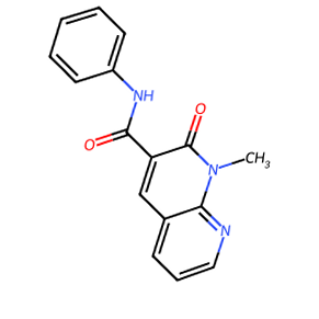 Cn1c(=O)c(C(=O)Nc2ccccc2)cc2cccnc21